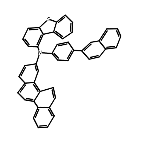 c1ccc2cc(-c3ccc(N(c4ccc5ccc6c7ccccc7ccc6c5c4)c4cccc5sc6ccccc6c45)cc3)ccc2c1